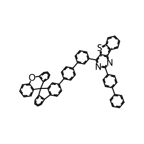 c1ccc(-c2ccc(-c3nc(-c4cccc(-c5ccc(-c6ccc7c(c6)C6(c8ccccc8Oc8ccccc86)c6ccccc6-7)cc5)c4)c4sc5ccccc5c4n3)cc2)cc1